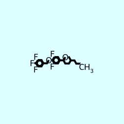 CCCCC1CCC(c2cc(F)c(OCc3cc(F)c(F)c(F)c3)c(F)c2)OC1